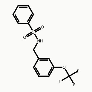 O=S(=O)(NCc1cccc(OC(F)(F)F)c1)c1ccccc1